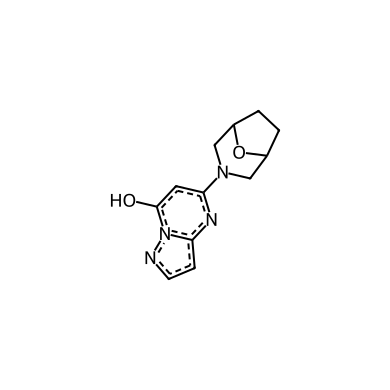 Oc1cc(N2CC3CCC(C2)O3)nc2ccnn12